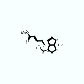 COC(=O)C=CCC[C@]12C=CC[C@H]1CC[C@H]2CO